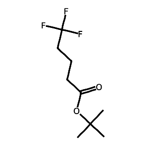 CC(C)(C)OC(=O)CCCC(F)(F)F